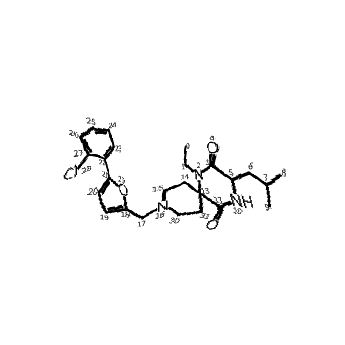 CCN1C(=O)C(CC(C)C)NC(=O)C12CCN(Cc1ccc(-c3ccccc3Cl)o1)CC2